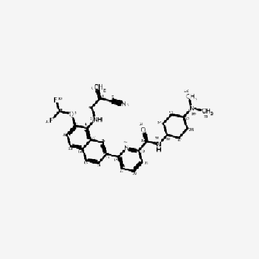 C=C(C#N)CNc1c(OC(F)F)ccc2ccc(-c3cccc(C(=O)NC4CCC(N(C)C)CC4)n3)cc12